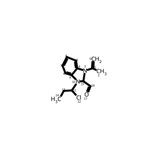 C=C(C)N1c2ccccc2N(C(Cl)CC)C1C=O